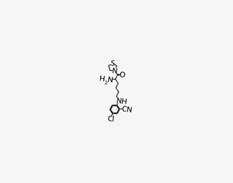 N#Cc1cc(Cl)ccc1NCCCCC(N)C(=O)N1CCSC1